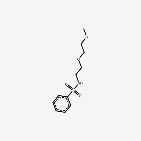 COCCOCCNS(=O)(=O)c1cc[c]cc1